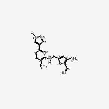 Cn1cc(-c2ccc(N)c(NCc3cc(N)c(C=N)s3)n2)cn1